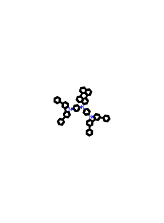 c1ccc(-c2ccc3c(c2)c2cc(-c4ccccc4)ccc2n3-c2ccc(N(c3ccc(-n4c5ccc(-c6ccccc6)cc5c5cc(-c6ccccc6)ccc54)cc3)c3ccc4c5cccc6cccc(c7cccc3c74)c65)cc2)cc1